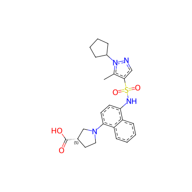 Cc1c(S(=O)(=O)Nc2ccc(N3CC[C@H](C(=O)O)C3)c3ccccc23)cnn1C1CCCC1